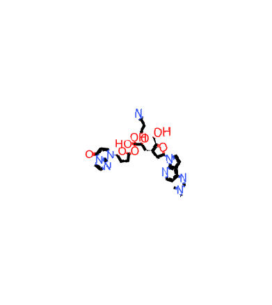 CN(C)/C=N\c1ccnc2c1ccn2[C@H]1C[C@H](CC(OCCC#N)C(O)(O)OC2CC[C@H](n3ccc(=O)n4ccnc34)O2)[C@@H](CO)O1